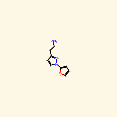 NCCc1ccn(-c2ccco2)n1